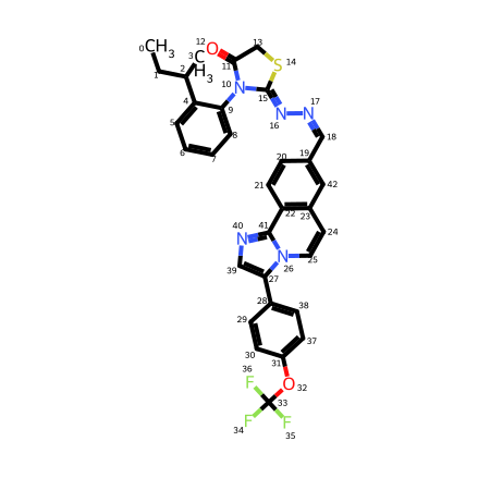 CCC(C)c1ccccc1N1C(=O)CS/C1=N\N=C/c1ccc2c(ccn3c(-c4ccc(OC(F)(F)F)cc4)cnc23)c1